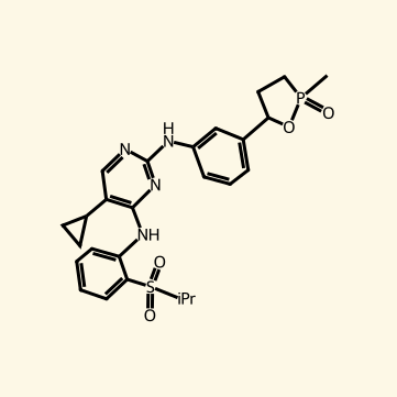 CC(C)S(=O)(=O)c1ccccc1Nc1nc(Nc2cccc(C3CCP(C)(=O)O3)c2)ncc1C1CC1